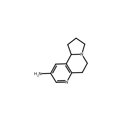 Nc1cnc2c(c1)C1CCCN1CC2